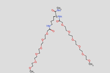 CNC(=O)[C@H](CCCCNC(=O)COCCOCCOCCOCCOCCOC)NC(=O)COCCOCCOCCOCCOCCOC